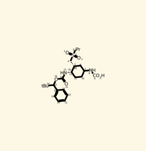 CC(C)S(=O)(=O)C[C@@H]1CC(NC(=O)O)CC[C@@H]1NC(=O)OC(c1ccccc1)C(C)(C)C